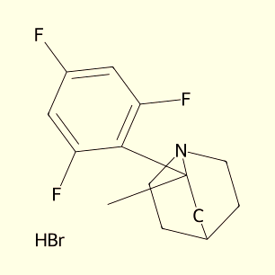 Br.CC1(c2c(F)cc(F)cc2F)CC2CCN1CC2